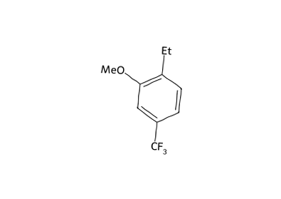 CCc1ccc(C(F)(F)F)cc1OC